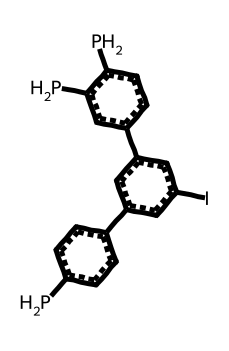 Pc1ccc(-c2cc(I)cc(-c3ccc(P)c(P)c3)c2)cc1